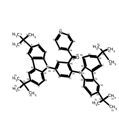 CC(C)(C)c1ccc2c(c1)c1cc(C(C)(C)C)ccc1n2-c1ccc(-n2c3ccc(C(C)(C)C)cc3c3cc(C(C)(C)C)ccc32)c(C(=O)c2ccncc2)c1